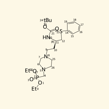 CCOP(=O)(CN1CCN(CC[C@H](CSc2ccccc2)NC(=O)OC(C)(C)C)CC1)OCC